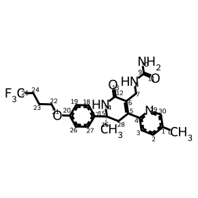 Cc1ccc(C2=C(CNC(N)=O)C(=O)N[C@](C)(c3ccc(OCCCC(F)(F)F)cc3)C2)nc1